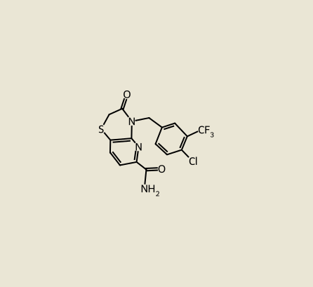 NC(=O)c1ccc2c(n1)N(Cc1ccc(Cl)c(C(F)(F)F)c1)C(=O)CS2